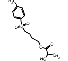 Cc1ccc(S(=O)(=O)CCCCOC(=O)C(C)O)cc1